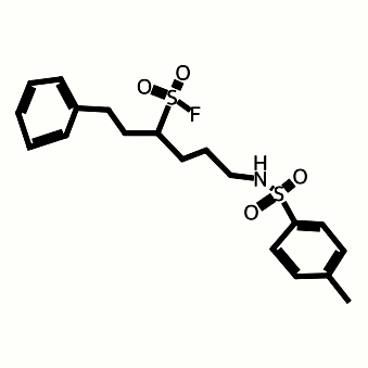 Cc1ccc(S(=O)(=O)NCCCC(CCc2ccccc2)S(=O)(=O)F)cc1